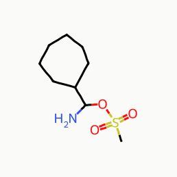 CS(=O)(=O)OC(N)C1CCCCCC1